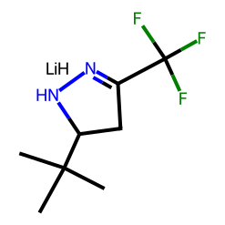 CC(C)(C)C1CC(C(F)(F)F)=NN1.[LiH]